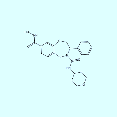 O=C(NO)C1C=C2OC[C@H](c3ccccc3)N(C(=O)NC3CCOCC3)CC2=CC1